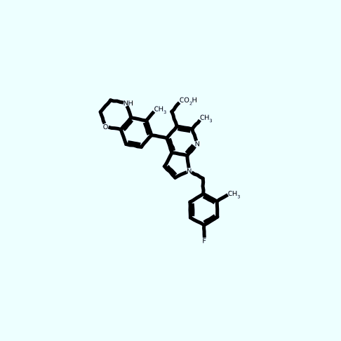 Cc1cc(F)ccc1Cn1ccc2c(-c3ccc4c(c3C)NCCO4)c(CC(=O)O)c(C)nc21